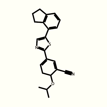 CC(C)OC1CC=C(c2ncc(-c3cccc4c3CCC4)s2)C=C1C#N